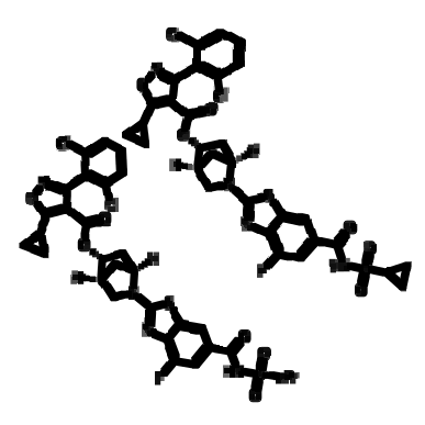 CCCS(=O)(=O)NC(=O)c1cc(F)c2nc(N3C[C@@H]4C[C@H]3C[C@H]4OC(=O)c3c(-c4c(Cl)cccc4Cl)noc3C3CC3)sc2c1.O=C(NS(=O)(=O)C1CC1)c1cc(F)c2nc(N3C[C@@H]4C[C@H]3C[C@H]4OC(=O)c3c(-c4c(Cl)cccc4Cl)noc3C3CC3)sc2c1